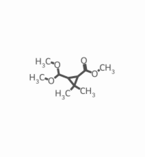 COC(=O)C1C(C(OC)OC)C1(C)C